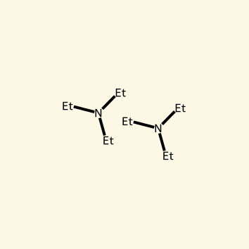 CCN(CC)CC.CCN(CC)CC